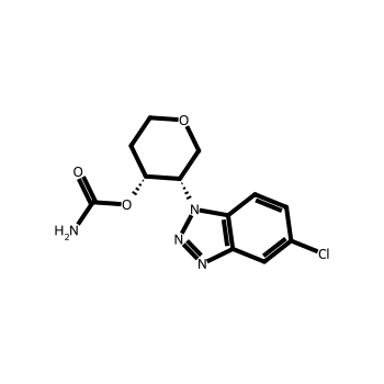 NC(=O)O[C@@H]1CCOC[C@@H]1n1nnc2cc(Cl)ccc21